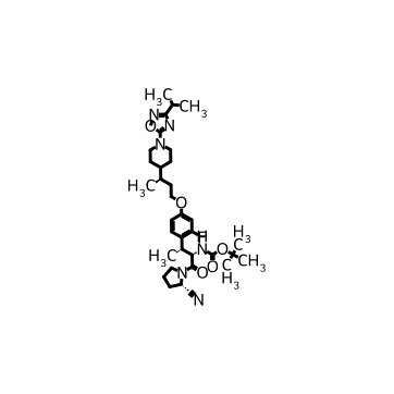 CC(C)c1noc(N2CCC([C@H](C)CCOc3ccc([C@@H](C)[C@H](NC(=O)OC(C)(C)C)C(=O)N4CCC[C@H]4C#N)c(F)c3)CC2)n1